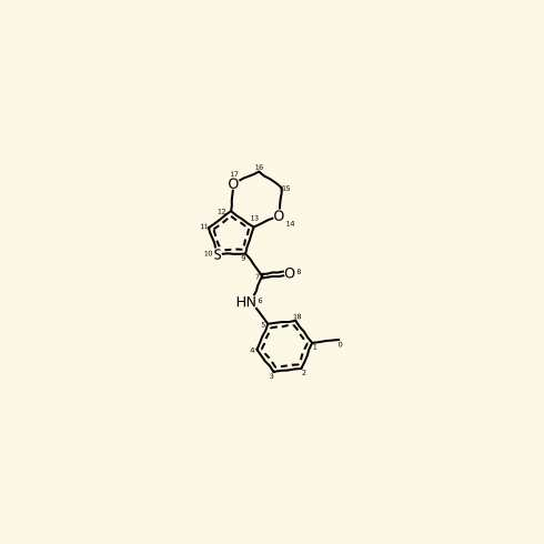 Cc1cccc(NC(=O)c2scc3c2OCCO3)c1